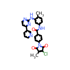 CC1=C(Cl)C(=O)N(c2ccc(C(=O)Nc3ccc(C)c(Nc4nccc(-c5cccnc5)n4)c3)cc2)C1=O